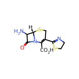 NC1C(=O)N2C(C(=O)O)=C(C3=NCCS3)CS[C@@H]12